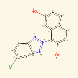 Oc1ccc2ccc(O)c(-n3nc4ccc(Cl)cc4n3)c2c1